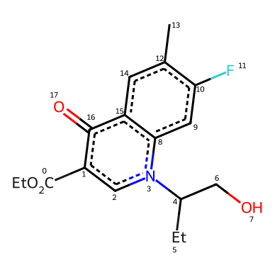 CCOC(=O)c1cn(C(CC)CO)c2cc(F)c(C)cc2c1=O